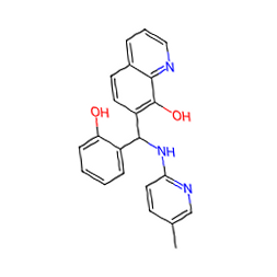 Cc1ccc(NC(c2ccccc2O)c2ccc3cccnc3c2O)nc1